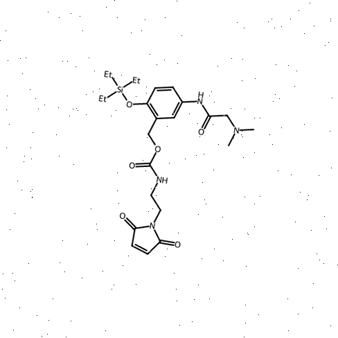 CC[Si](CC)(CC)Oc1ccc(NC(=O)CN(C)C)cc1COC(=O)NCCN1C(=O)C=CC1=O